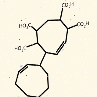 O=C(O)C1/C=C\C(C2/C=C\CCCCC2)C(C(=O)O)C(C(=O)O)CC1C(=O)O